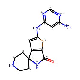 Nc1cc(Nc2cc3c(s2)C(=O)NC32CCNCC2)ncn1